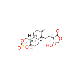 C=C1CC[C@@H]2[C@]3(C)CO[S@](=O)O[C@@H]3CC[C@@]2(C)[C@@H]1C/C=C1/C(=O)OC[C@H]1O